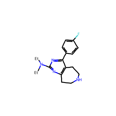 CCN(CC)c1nc2c(c(-c3ccc(F)cc3)n1)CCNCC2